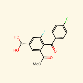 COC(=O)c1cc(B(O)O)cc(F)c1C(=O)c1ccc(Cl)cc1